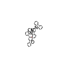 N#Cc1cccc(-c2ccc3oc4ccccc4c3c2)c1-n1c2ccccc2c2cc(-n3c4ccccc4c4ccccc43)ccc21